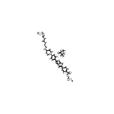 CCOC(=O)c1ccc(-c2cn3nc(-c4ccc(N5CCC(COCCCCCOC)CC5)cc4)sc3n2)cc1.O=C(O)C(F)(F)F